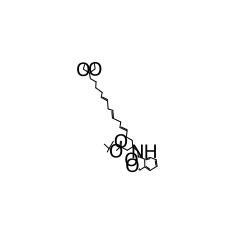 COC(CCCCC=CCC=CCC=CCCC(CC(=O)OC(C)(C)C)NC(=O)c1ccccc1C=O)OC